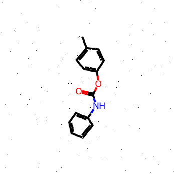 [CH2]c1ccc(OC(=O)Nc2ccccc2)cc1